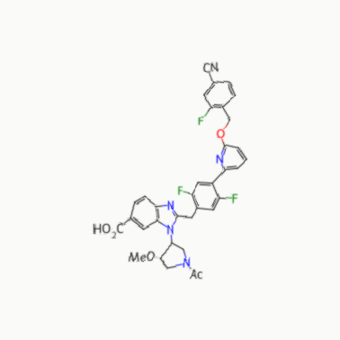 CO[C@H]1CN(C(C)=O)CC1n1c(Cc2cc(F)c(-c3cccc(OCc4ccc(C#N)cc4F)n3)cc2F)nc2ccc(C(=O)O)cc21